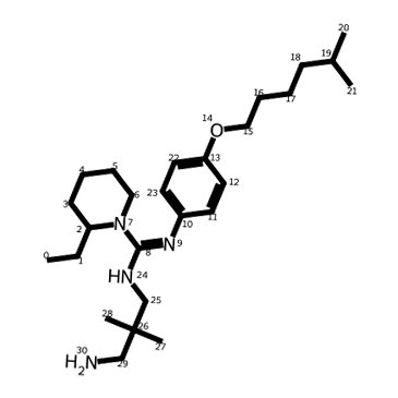 CCC1CCCCN1/C(=N\c1ccc(OCCCCC(C)C)cc1)NCC(C)(C)CN